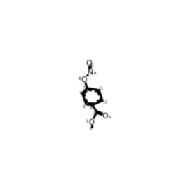 COC(=O)c1ccc(ON=O)cc1